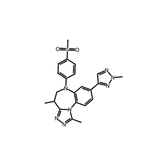 Cc1nnc2n1-c1ccc(-c3cnn(C)n3)cc1N(c1ccc(S(C)(=O)=O)cc1)CC2C